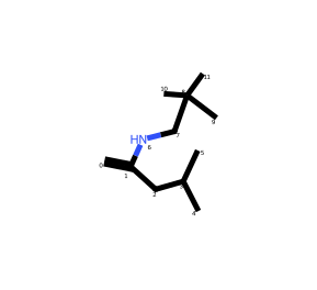 C=C(CC(C)C)NCC(C)(C)C